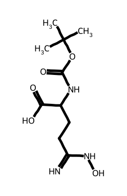 CC(C)(C)OC(=O)NC(CCC(=N)NO)C(=O)O